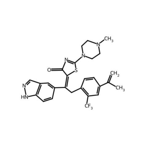 C=C(C)c1ccc(CC(=C2SC(N3CCN(C)CC3)=NC2=O)c2ccc3[nH]ncc3c2)c(C(F)(F)F)c1